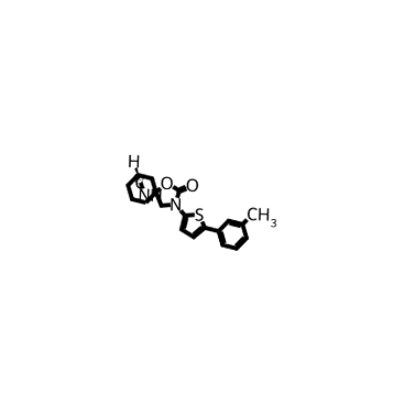 Cc1cccc(-c2ccc(N3CC4(C[C@H]5CCC4NC5)OC3=O)s2)c1